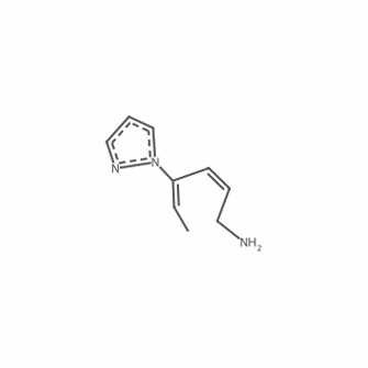 C/C=C(\C=C/CN)n1cccn1